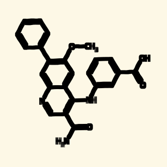 COc1cc2c(Nc3cccc(C(=O)O)c3)c(C(N)=O)cnc2cc1-c1ccccc1